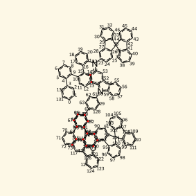 c1ccc(-c2ccccc2-c2ccccc2-c2ccccc2N(c2ccc3c(c2)-c2ccccc2C32c3ccccc3-c3ccccc32)c2ccc3c(c2)c2ccccc2n3-c2ccc(-c3ccc(-c4ccccc4-c4ccccc4-c4ccccc4)c(N(c4ccc5c(c4)-c4ccccc4C54c5ccccc5-c5ccccc54)c4cccc5c4oc4ccccc45)c3)cc2)cc1